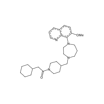 COc1ccc2cccnc2c1N1CCCN(CC2CCN(C(=O)CC3CCCCC3)CC2)CC1